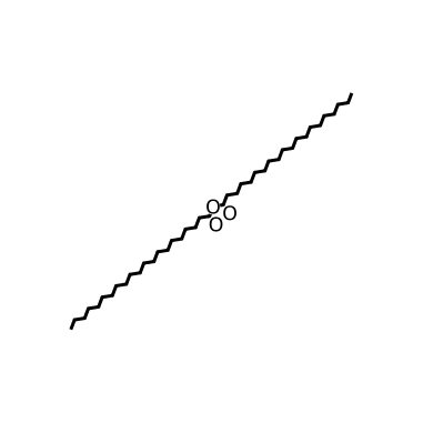 CCCCCCCCCCCCCCCCCCCCC(=O)OC(=O)CCCCCCCCCCCCCCCCCCC